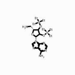 CC[Si](CC)(CC)OC1C(O[Si](CC)(CC)CC)[C@@H](CN)O[C@H]1n1cnc2c(N)ncnc21